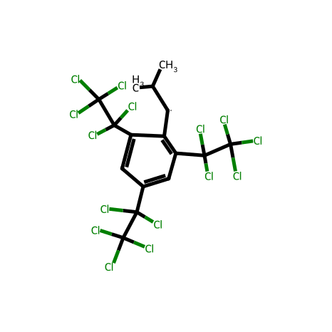 CC(C)[CH]c1c(C(Cl)(Cl)C(Cl)(Cl)Cl)cc(C(Cl)(Cl)C(Cl)(Cl)Cl)cc1C(Cl)(Cl)C(Cl)(Cl)Cl